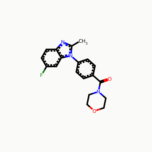 Cc1nc2ccc(F)cc2n1-c1ccc(C(=O)N2CCOCC2)cc1